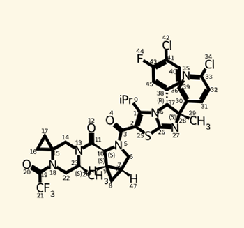 CC(C)C1=C(C(=O)N2C[C@@H]3C[C@@H]3[C@H]2C(=O)N2CC3(CC3)N(C(=O)C(F)(F)F)C[C@@H]2C)SC2=N[C@@](C)(c3ccc(Cl)nc3)[C@@H](c3ccc(Cl)c(F)c3)N21